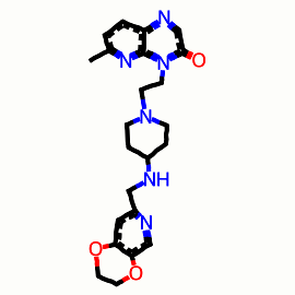 Cc1ccc2ncc(=O)n(CCN3CCC(NCc4cc5c(cn4)OCCO5)CC3)c2n1